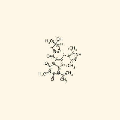 Cc1n[nH]c(C)c1Cc1sc2c(c1C(=O)N1C[C@](C)(O)CO1)c(=O)n(C)c(=O)n2C(C)C